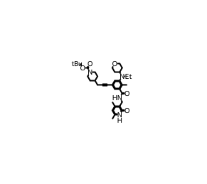 CCN(c1cc(C#CCC2CCN(C(=O)OC(C)(C)C)CC2)cc(C(=O)NCc2c(C)cc(C)[nH]c2=O)c1C)C1CCOCC1